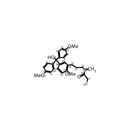 COc1ccc(C(O)(c2ccc(OC)cc2)c2ccc(OC)c(CCCN(C)C(=O)CI)c2)cc1